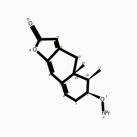 CCCO[C@H]1CC=C2C=C3OC(=O)C=C3C[C@]2(C)[C@H]1C